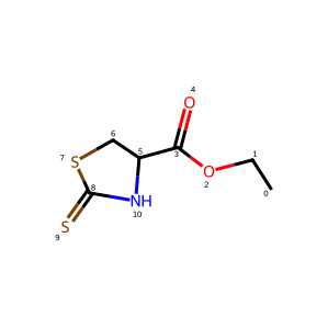 CCOC(=O)C1CSC(=S)N1